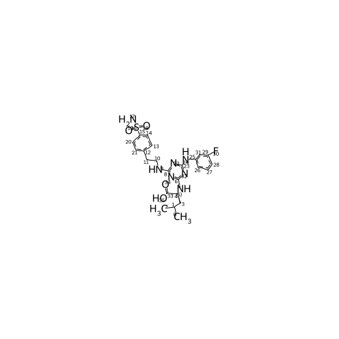 CC(C)C[C@H](Nc1nc(NCCc2ccc(S(N)(=O)=O)cc2)nc(Nc2cccc(F)c2)n1)C(=O)O